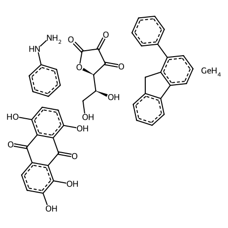 NNc1ccccc1.O=C1O[C@H]([C@@H](O)CO)C(=O)C1=O.O=C1c2ccc(O)c(O)c2C(=O)c2c(O)ccc(O)c21.[GeH4].c1ccc(-c2cccc3c2Cc2ccccc2-3)cc1